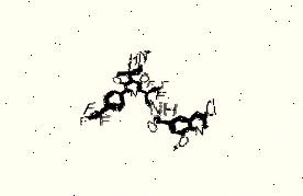 CNC(=O)[C@@]1(C)COc2c1cc(C(CNC(=O)c1cc(OC)c3ncc(Cl)cc3c1)C(F)(F)F)nc2-c1ccc(C(F)(F)F)cc1